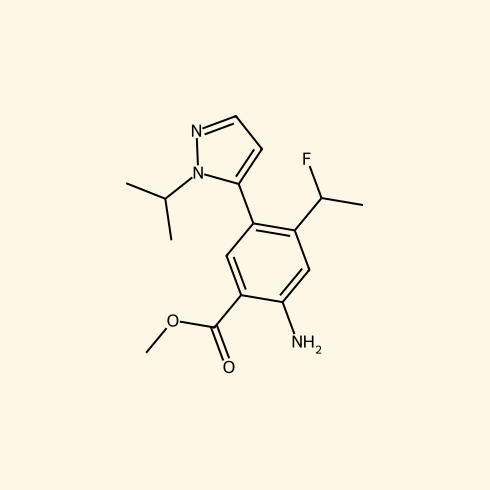 COC(=O)c1cc(-c2ccnn2C(C)C)c(C(C)F)cc1N